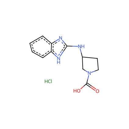 Cl.O=C(O)N1CCC(Nc2nc3ccccc3[nH]2)C1